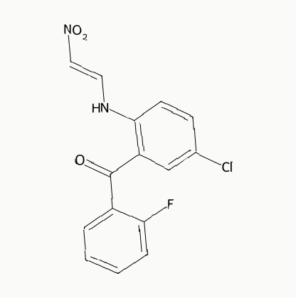 O=C(c1ccccc1F)c1cc(Cl)ccc1NC=C[N+](=O)[O-]